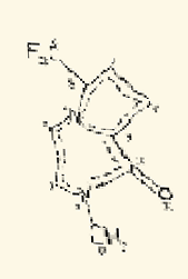 Cn1ccn2c(C(F)(F)F)ccc2c1=O